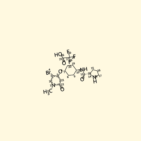 Cn1cc(Br)c(O[C@H]2CC[C@H](NC(=O)[C@@H]3CCCN3)CC2)cc1=O.O=C(O)C(F)(F)F